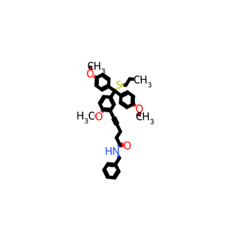 CCCSC(c1ccc(OC)cc1)(c1ccc(OC)cc1)c1ccc(OC)c(C#CCCC(=O)NCc2ccccc2)c1